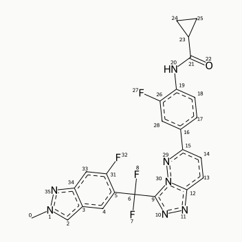 Cn1cc2cc(C(F)(F)c3nnc4ccc(-c5ccc(NC(=O)C6CC6)c(F)c5)nn34)c(F)cc2n1